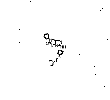 CCN(CC)CCOc1ccc(Nc2ncc3c(n2)N(C)C(=O)N(c2ccccc2)C3)cc1